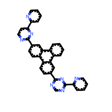 c1ccc(-c2ccnc(-c3ccc4c5ccc(-c6ncnc(-c7ccccn7)n6)cc5c5ccccc5c4c3)n2)nc1